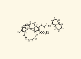 CCOC(=O)c1c(CCCOc2cccc3ccccc23)c2ccc(Cl)c3c2n1CCCCOCc1c-3c(C)nn1C